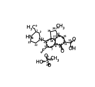 CC1CN(c2c(F)cc3c(=O)c(C(=O)O)cn4c3c2C[C@@H]4C)CCN1.CS(=O)(=O)O